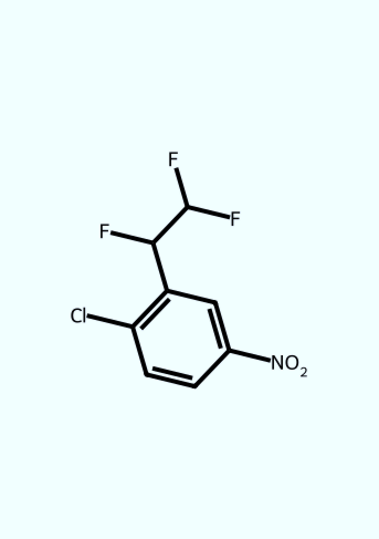 O=[N+]([O-])c1ccc(Cl)c(C(F)C(F)F)c1